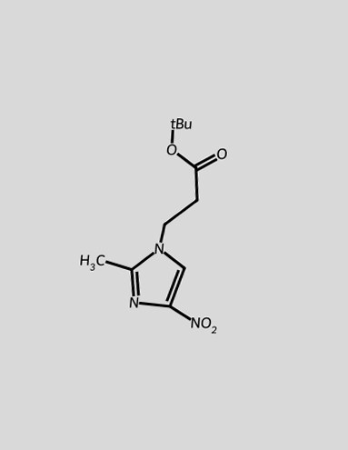 Cc1nc([N+](=O)[O-])cn1CCC(=O)OC(C)(C)C